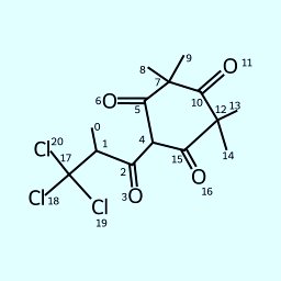 CC(C(=O)C1C(=O)C(C)(C)C(=O)C(C)(C)C1=O)C(Cl)(Cl)Cl